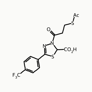 CC(=O)SCCC(=O)N1N=C(c2ccc(C(F)(F)F)cc2)SC1C(=O)O